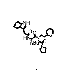 CCCC[C@H](NC(=O)Cc1c[nH]c2ccccc12)C(=O)N(CCC1CCCCC1)CC(=O)N1CCCC1